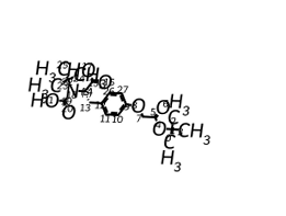 CC(C)(C)OC(=O)COc1ccc(C[C@@H](C(=O)O)N(C(=O)O)C(C)(C)C)cc1